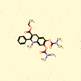 CCOC(=O)C1=C(c2ccccc2)N(C)c2cc(OC(=O)N(C)C)c(OC(=O)N(C)C)cc2C1